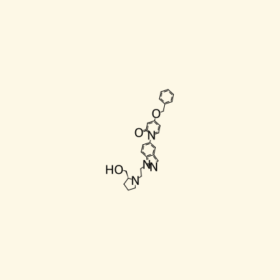 O=c1cc(OCc2ccccc2)ccn1-c1ccc2c(cnn2CCN2CCC[C@H]2CO)c1